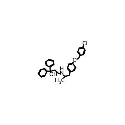 CC(Cc1ccc(OCc2ccc(Cl)cc2)cc1)NCCC(O)(c1ccccc1)c1ccccc1